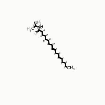 CCCCCCCCC=CCCCCCCCC(=O)NC(C)C